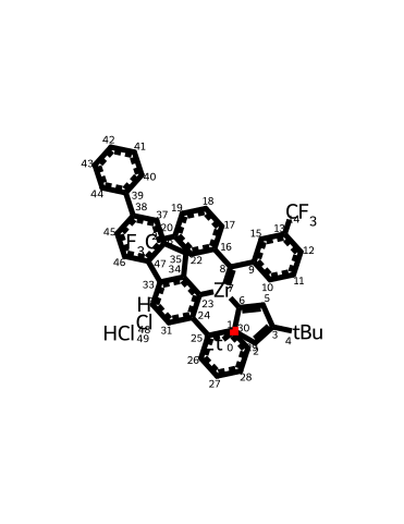 CCC1C=C(C(C)(C)C)C=[C]1[Zr](=[C](c1cccc(C(F)(F)F)c1)c1cccc(C(F)(F)F)c1)[c]1c(-c2ccccc2)ccc2c1Cc1cc(-c3ccccc3)ccc1-2.Cl.Cl